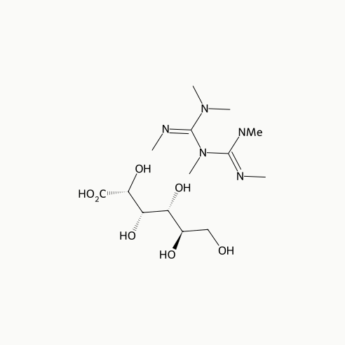 C/N=C(/N(C)C)N(C)/C(=N/C)NC.O=C(O)[C@H](O)[C@@H](O)[C@H](O)[C@H](O)CO